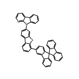 c1ccc2c(c1)-c1ccccc1C21c2ccccc2-c2cc(-c3cccc4c3sc3cc(-n5c6ccccc6c6cccnc65)ccc34)ccc21